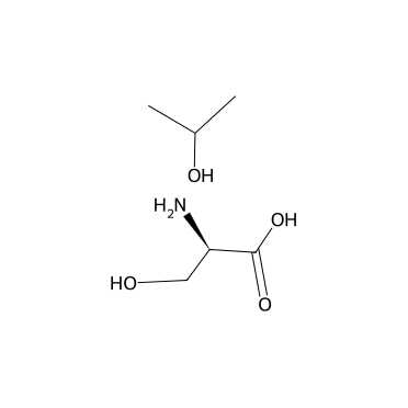 CC(C)O.N[C@H](CO)C(=O)O